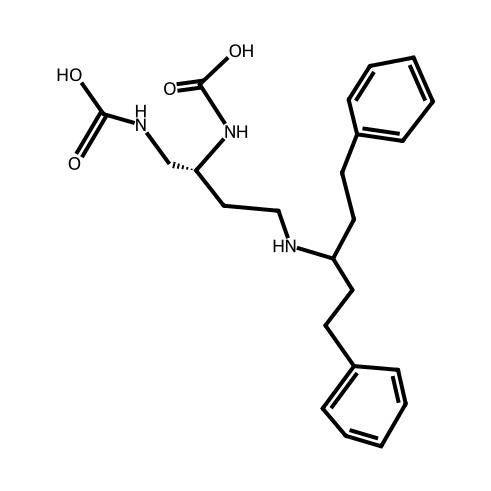 O=C(O)NC[C@@H](CCNC(CCc1ccccc1)CCc1ccccc1)NC(=O)O